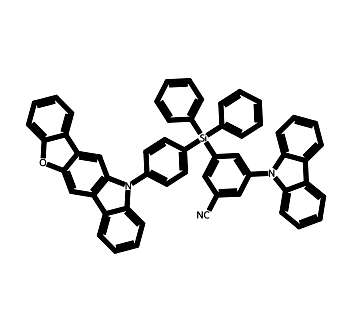 N#Cc1cc(-n2c3ccccc3c3ccccc32)cc([Si](c2ccccc2)(c2ccccc2)c2ccc(-n3c4ccccc4c4cc5oc6ccccc6c5cc43)cc2)c1